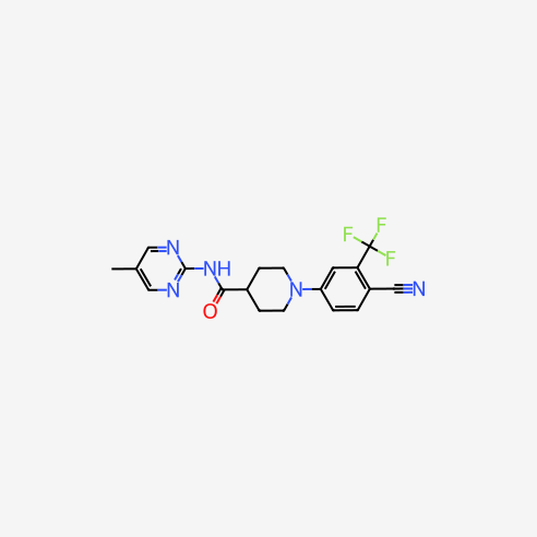 Cc1cnc(NC(=O)C2CCN(c3ccc(C#N)c(C(F)(F)F)c3)CC2)nc1